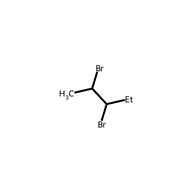 [CH2]CC(Br)C(C)Br